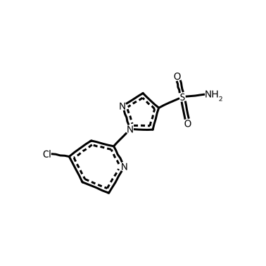 NS(=O)(=O)c1cnn(-c2cc(Cl)ccn2)c1